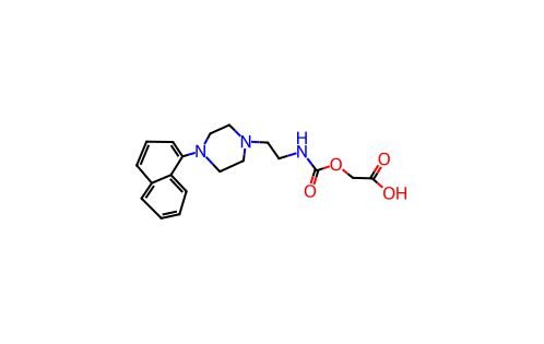 O=C(O)COC(=O)NCCN1CCN(c2cccc3ccccc23)CC1